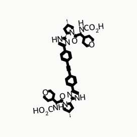 C[C@H]1C[C@@H](c2nc(-c3ccc(C#Cc4ccc(-c5c[nH]c([C@@H]6C[C@H](C)CN6C(=O)[C@@H](NC(=O)O)C6CCOCC6)n5)cc4)cc3)c[nH]2)N(C(=O)[C@@H](NC(=O)O)C2CCOCC2)C1